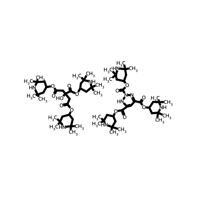 CC1(C)CC(OC(=O)C2=CC(C(=O)OC3CC(C)(C)NC(C)(C)C3)=NN(C(=O)OC3CC(C)(C)NC(C)(C)C3)N2)CC(C)(C)N1.CC1(C)CC(OC(=O)CC(O)(CC(=O)OC2CC(C)(C)NC(C)(C)C2)C(=O)OC2CC(C)(C)NC(C)(C)C2)CC(C)(C)N1